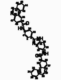 O=C(Nc1ccc(-c2nc3cc(NC(=O)c4ccc(/N=C\c5ccccc5)cc4)ccc3[nH]2)cc1)c1ccc(/N=C\c2ccccc2)cc1